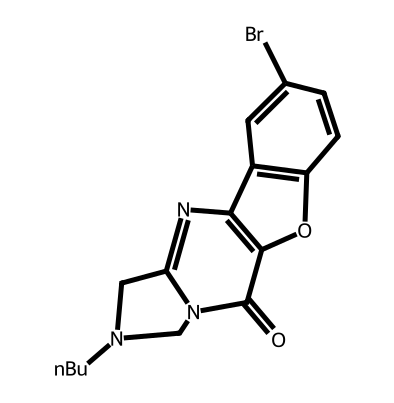 CCCCN1Cc2nc3c(oc4ccc(Br)cc43)c(=O)n2C1